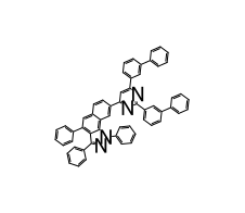 c1ccc(-c2cccc(-c3cc(-c4ccc5cc(-c6ccccc6)c6c(-c7ccccc7)nn(-c7ccccc7)c6c5c4)nc(-c4cccc(-c5ccccc5)c4)n3)c2)cc1